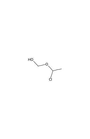 CC(Cl)OCO